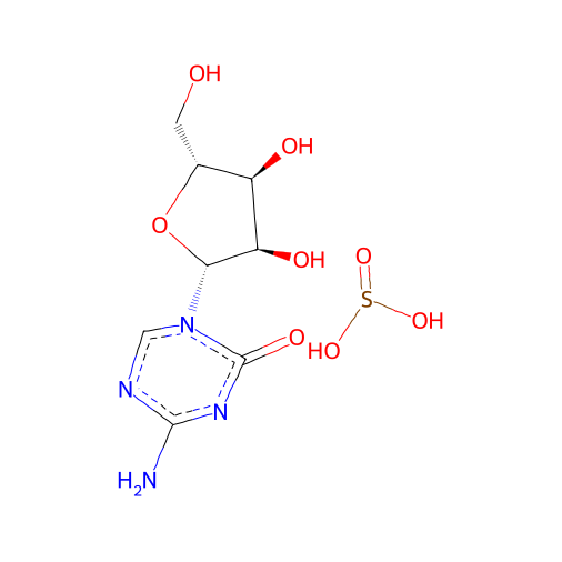 Nc1ncn([C@@H]2O[C@H](CO)[C@@H](O)[C@H]2O)c(=O)n1.O=S(O)O